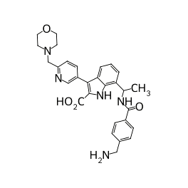 CC(NC(=O)c1ccc(CN)cc1)c1cccc2c(-c3ccc(CN4CCOCC4)nc3)c(C(=O)O)[nH]c12